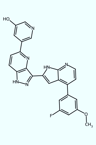 COc1cc(F)cc(-c2ccnc3[nH]c(-c4n[nH]c5ccc(-c6cncc(O)c6)nc45)cc23)c1